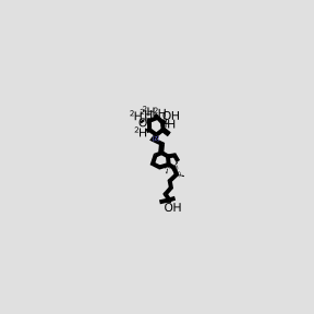 [2H]O[C@]1([2H])C([2H])/C(=C/C=C2CCC[C@@]3(C)C2CC[C@@H]3[C@H](C)CCCC(C)(C)O)C(=C)[C@]([2H])(O)C1([2H])[2H]